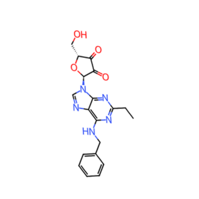 CCc1nc(NCc2ccccc2)c2ncn([C@H]3O[C@H](CO)C(=O)C3=O)c2n1